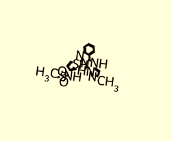 CCS(=O)(=O)NC1=C[SH](c2nc(Nc3cc(C)n[nH]3)c3ccccc3n2)C=C1